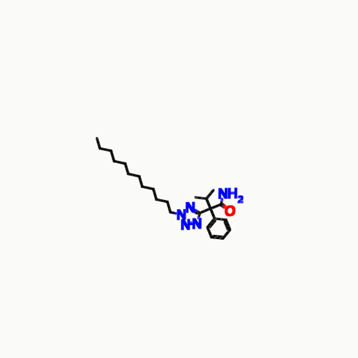 CCCCCCCCCCCCn1nnc(C(C(N)=O)(c2ccccc2)C(C)C)n1